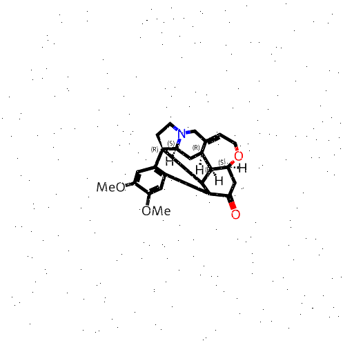 COc1cc2c(cc1OC)[C@@]13CCN4CC5=CCO[C@H]6CC(=O)C2C1[C@H]6[C@H]5C[C@H]43